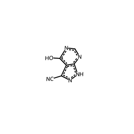 N#Cc1n[nH]c2ncnc(O)c12